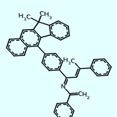 C=C(/N=C(\C=C(/C)c1ccccc1)c1ccc(-c2c3c(cc4ccccc24)C(C)(C)c2ccccc2-3)cc1)c1ccccc1